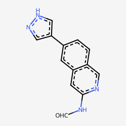 O=CNc1cc2cc(-c3cn[nH]c3)ccc2cn1